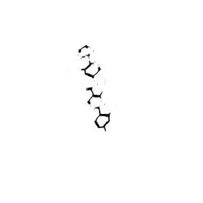 O=C(Nc1cnc(-n2nccn2)c(C(F)(F)F)c1)c1cnc(-c2ccc(F)cc2Cl)nc1C(F)(F)F